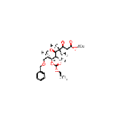 CC(C(=O)C(C)(C)C(=O)CC(=O)OC(C)(C)C)[C@@H](OC(=O)OCC(Cl)(Cl)Cl)[C@@H](C)COCc1ccccc1